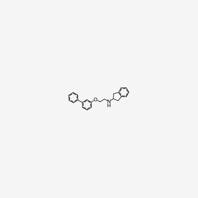 c1ccc(-c2cccc(OCCNC3Cc4ccccc4C3)c2)cc1